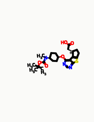 CN(C(=O)OC(C)(C)C)[C@H]1CC[C@@H](Oc2ncnc3sc4c(c23)[C@H](CC(=O)O)CC4)CC1